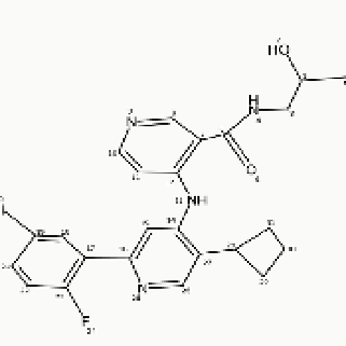 CC(O)CNC(=O)c1cnccc1Nc1cc(-c2cc(Cl)ccc2F)ncc1C1CCC1